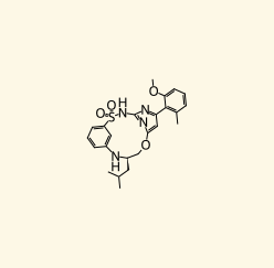 COc1cccc(C)c1-c1cc2nc(n1)NS(=O)(=O)c1cccc(c1)N[C@H](CC(C)C)CO2